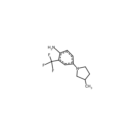 CC1CCN(c2ccc(N)c(C(F)(F)F)c2)C1